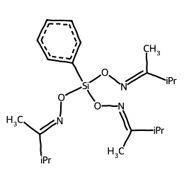 CC(=NO[Si](ON=C(C)C(C)C)(ON=C(C)C(C)C)c1ccccc1)C(C)C